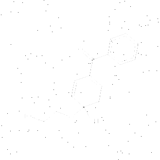 CC1(OCCO)C=CC(C(=O)c2ccccc2)=CC1